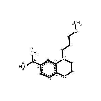 COCCCN1CCOc2ccc(C(C)C)cc21